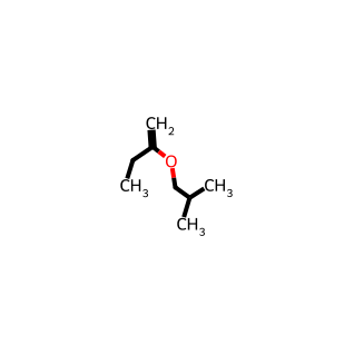 C=C(CC)OCC(C)C